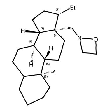 CC[C@H]1CC[C@H]2[C@@H]3CCC4CCCC[C@]4(C)[C@H]3CC[C@]12CN1CCO1